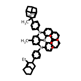 CCC1=C2CCCC(C2)CC1c1ccc(N2c3cccc(-c4ccccc4)c3B3c4c(-c5ccccc5)cccc4N(c4ccc(C5(C)C=C6CC7CC(C5)[C@@H]67)cc4)c4cc(C)cc2c43)cc1